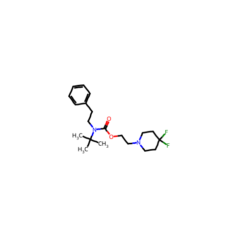 CC(C)(C)N(CCc1ccccc1)C(=O)OCCN1CCC(F)(F)CC1